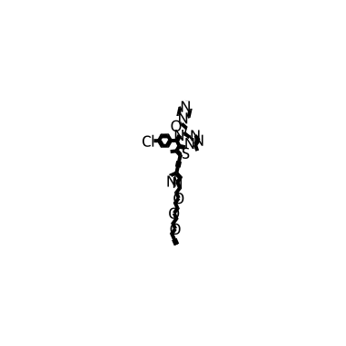 C#CCOCCOCCOCCn1cc(C#Cc2sc3c(c2C)C(c2ccc(Cl)cc2)=N[C@@H](CC(=O)N2CCN(C)CC2)c2nnc(C)n2-3)cn1